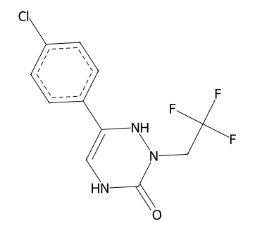 O=C1NC=C(c2ccc(Cl)cc2)NN1CC(F)(F)F